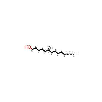 O=C(O)CCCCCCCCCCCO.[Zn]